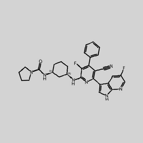 N#Cc1c(-c2c[nH]c3ncc(F)cc23)nc(N[C@@H]2CCC[C@H](NC(=O)N3CCCC3)C2)c(F)c1-c1ccccc1